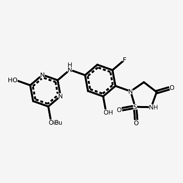 CC(C)COc1cc(O)nc(Nc2cc(O)c(N3CC(=O)NS3(=O)=O)c(F)c2)n1